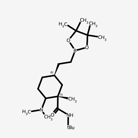 CN(C)C1CC[C@@H](CCB2OC(C)(C)C(C)(C)O2)C[C@]1(C)C(=O)NC(C)(C)C